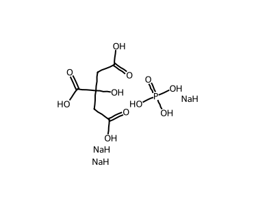 O=C(O)CC(O)(CC(=O)O)C(=O)O.O=P(O)(O)O.[NaH].[NaH].[NaH]